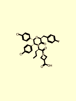 CCC[C@H](C(=O)N1CC(C(=O)O)C1)N1C(=O)[C@H](Cc2ccc(F)cc2)O[C@@H](c2ccc(Cl)cc2)[C@H]1c1ccc(Cl)cc1